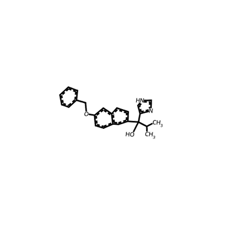 CC(C)C(O)(c1ccc2cc(OCc3ccccc3)ccc2c1)c1c[nH]cn1